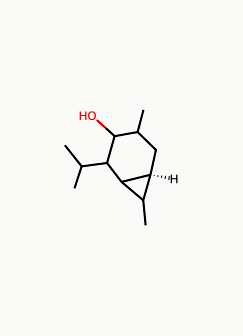 CC(C)C1C(O)C(C)C[C@H]2C(C)C12